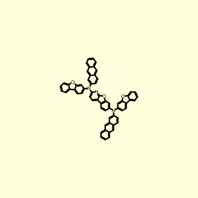 c1ccc2cc3cc(N(c4ccc5c(c4)oc4ccccc45)c4ccc5c(c4)oc4nc(N(c6ccc7cc8ccccc8cc7c6)c6ccc7c(c6)oc6ccccc67)ccc45)ccc3cc2c1